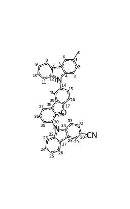 Cc1ccc2c(c1)c1ccccc1n2-c1ccc2oc3c(-n4c5ccccc5c5cc(C#N)ccc54)cccc3c2c1